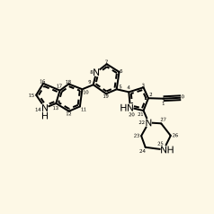 C#Cc1cc(-c2ccnc(-c3ccc4[nH]ccc4c3)c2)[nH]c1N1CCNCC1